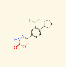 O=C1NN=C(c2ccc(C3=CCCC3)c(C(F)F)c2)CO1